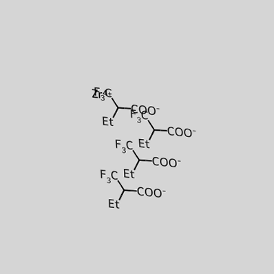 CCC(C(=O)[O-])C(F)(F)F.CCC(C(=O)[O-])C(F)(F)F.CCC(C(=O)[O-])C(F)(F)F.CCC(C(=O)[O-])C(F)(F)F.[Zr+4]